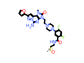 Cn1c(=O)n(CCN2CCN(c3cc(C(=O)NCC[S@@+](C)[O-])c(F)cc3F)CC2)c2nc(N)n3nc(-c4ccco4)cc3c21